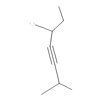 CCC([O])C#CC(C)C